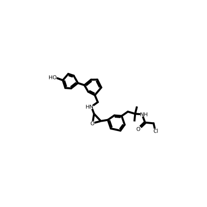 CC(C)(Cc1cccc(C2OC2NCc2cccc(-c3ccc(O)cc3)c2)c1)NC(=O)CCl